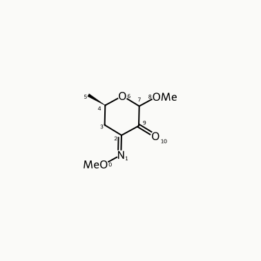 CO/N=C1\C[C@@H](C)OC(OC)C1=O